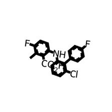 Cc1c(F)ccc(Nc2cccc(Cl)c2-c2ccc(F)cc2)c1C(=O)O